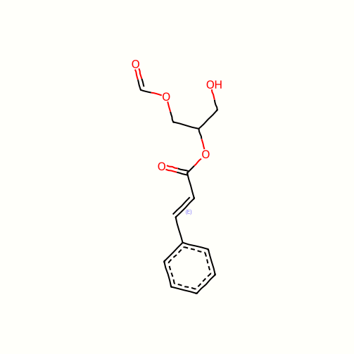 O=COCC(CO)OC(=O)/C=C/c1ccccc1